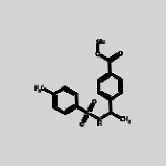 CC(NS(=O)(=O)c1ccc(C(F)(F)F)cc1)c1ccc(C(=O)OC(C)(C)C)cc1